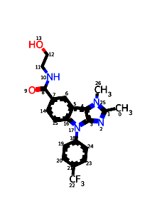 Cc1nc2c(c3cc(C(=O)NCCO)ccc3n2-c2ccc(C(F)(F)F)cc2)n1C